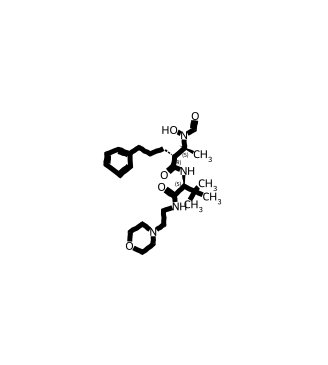 C[C@@H]([C@@H](CCCc1ccccc1)C(=O)N[C@H](C(=O)NCCN1CCOCC1)C(C)(C)C)N(O)C=O